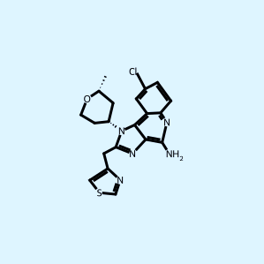 C[C@@H]1C[C@H](n2c(Cc3cscn3)nc3c(N)nc4ccc(Cl)cc4c32)CCO1